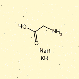 NCC(=O)O.[KH].[NaH]